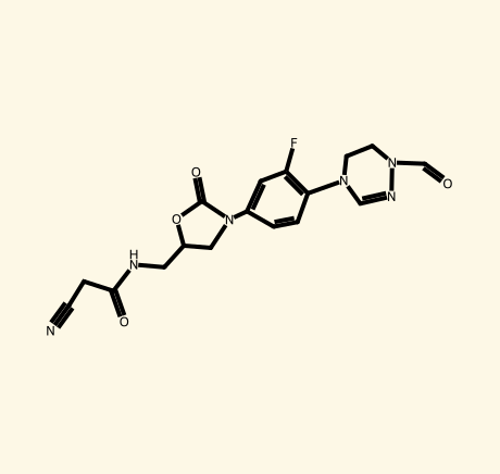 N#CCC(=O)NCC1CN(c2ccc(N3C=NN(C=O)CC3)c(F)c2)C(=O)O1